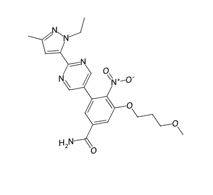 CCn1nc(C)cc1-c1ncc(-c2cc(C(N)=O)cc(OCCCOC)c2[N+](=O)[O-])cn1